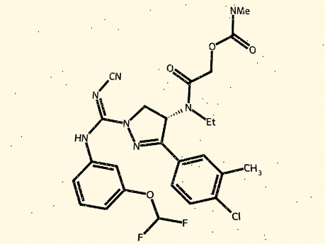 CCN(C(=O)COC(=O)NC)[C@H]1CN(C(=NC#N)Nc2cccc(OC(F)F)c2)N=C1c1ccc(Cl)c(C)c1